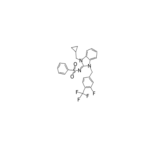 O=S(=O)(N=c1n(Cc2ccc(C(F)(F)F)c(F)c2)c2ccccc2n1CC1CC1)c1ccccc1